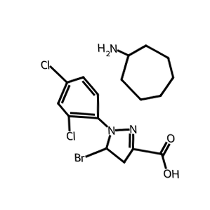 NC1CCCCCC1.O=C(O)C1=NN(c2ccc(Cl)cc2Cl)C(Br)C1